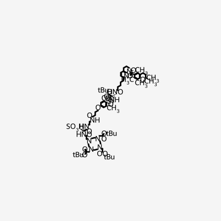 Cc1cc(OCCCC(=O)NCCNC(=O)[C@H](CS(=O)(=O)O)NC(=O)CN2CCN(CC(=O)OC(C)(C)C)CCN(CC(=O)OC(C)(C)C)CCN(CC(=O)OC(C)(C)C)CC2)cc(C)c1S(=O)(=O)N[C@@H](CNC(=O)CCCCc1ccc2c(n1)N(S(=O)(=O)c1c(C)c(C)c3c(c1C)CCC(C)(C)O3)CCC2)C(=O)OC(C)(C)C